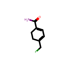 O=C(P)C1=CC=C(CF)CC1